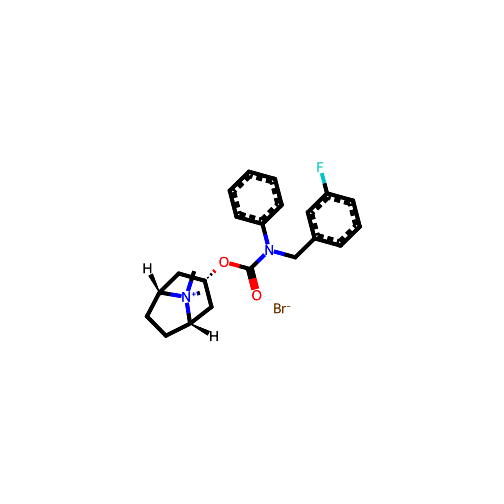 C[N+]1(C)[C@@H]2CC[C@H]1C[C@@H](OC(=O)N(Cc1cccc(F)c1)c1ccccc1)C2.[Br-]